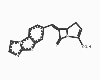 O=C(O)C1=CCC2C(=Cc3ccc4c(c3)sc3nccn34)C(=O)N12